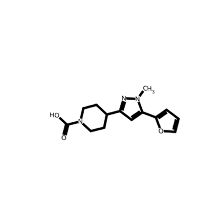 Cn1nc(C2CCN(C(=O)O)CC2)cc1-c1ccco1